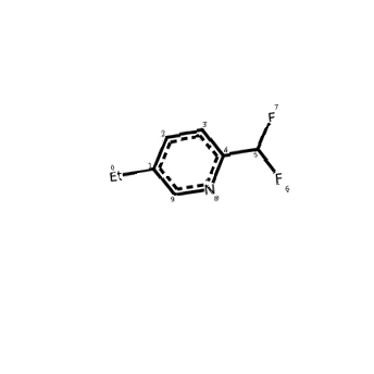 CCc1ccc(C(F)F)nc1